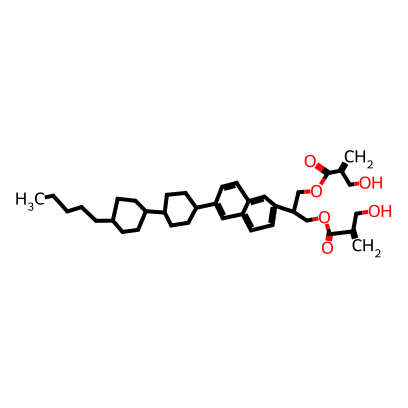 C=C(CO)C(=O)OCC(COC(=O)C(=C)CO)c1ccc2cc(C3CCC(C4CCC(CCCCC)CC4)CC3)ccc2c1